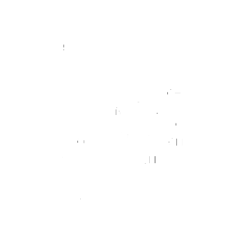 CC1(C)OB(c2cc(F)ccc2OCC2CC2)OC1(C)C